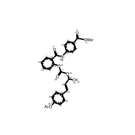 COC(=O)c1ccc(NC(=O)c2ccccc2OC(=O)OC(C)/C=C/c2ccc(OC(C)=O)cc2)cc1